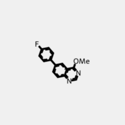 COc1ncnc2ccc(-c3ccc(F)cc3)cc12